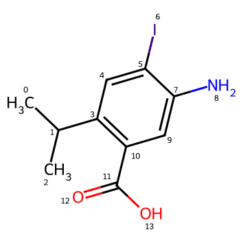 CC(C)c1cc(I)c(N)cc1C(=O)O